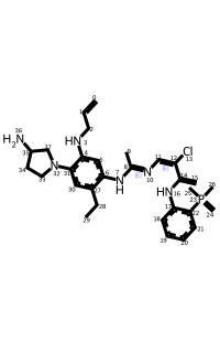 C=CCNc1cc(N/C(C)=N/C=C(/Cl)C(=C)Nc2ccccc2P(=C)(C)C)c(CC)cc1N1CCC(N)C1